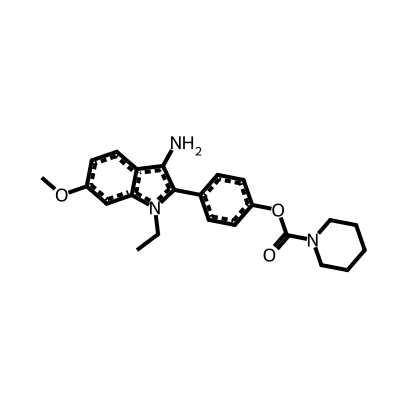 CCn1c(-c2ccc(OC(=O)N3CCCCC3)cc2)c(N)c2ccc(OC)cc21